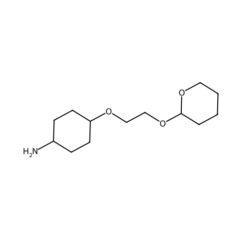 NC1CCC(OCCOC2CCCCO2)CC1